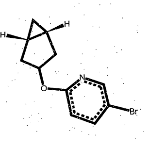 Brc1ccc(OC2C[C@@H]3C[C@@H]3C2)nc1